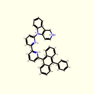 C1=Cc2c(c3ccccc3n2-c2cccc(-c3cccc(-c4c5ccccc5c(-c5ccccc5)c5ccccc45)n3)n2)CN1